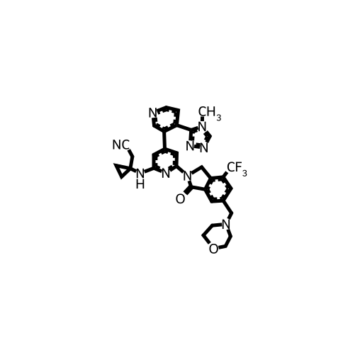 Cn1cnnc1-c1ccncc1-c1cc(NC2(CC#N)CC2)nc(N2Cc3c(cc(CN4CCOCC4)cc3C(F)(F)F)C2=O)c1